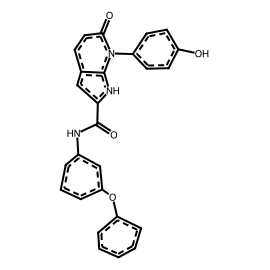 O=C(Nc1cccc(Oc2ccccc2)c1)c1cc2ccc(=O)n(-c3ccc(O)cc3)c2[nH]1